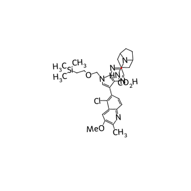 COc1cc2c(Cl)c(-c3cn(COCC[Si](C)(C)C)c4nc(N5C6CCC5CC(NC(=O)O)C6)cnc34)ccc2nc1C